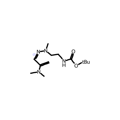 C=C(/C=N\N(C)CCNC(=O)OC(C)(C)C)N(C)C